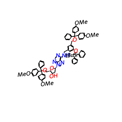 COc1ccc(C(OCc2cc(CNc3ncnc4c3ncn4[C@H]3C[C@H](O)[C@@H](COC(c4ccccc4)(c4ccc(OC)cc4)c4ccc(OC)cc4)O3)cc(O[Si](c3ccccc3)(c3ccccc3)C(C)(C)C)c2)(c2ccccc2)c2ccc(OC)cc2)cc1